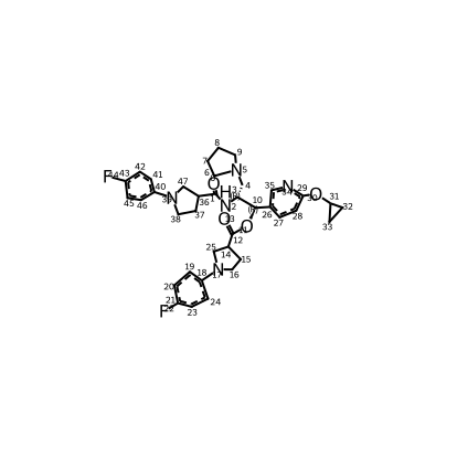 O=C(N[C@H](CN1CCCC1)[C@H](OC(=O)C1CCN(c2ccc(F)cc2)C1)c1ccc(OC2CC2)nc1)C1CCN(c2ccc(F)cc2)C1